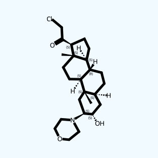 C[C@]12C[C@H](N3CCOCC3)[C@@H](O)C[C@@H]1CC[C@@H]1[C@@H]2CC[C@]2(C)[C@@H](C(=O)CCl)CC[C@@H]12